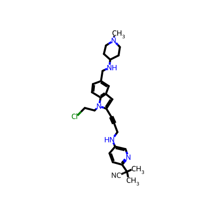 CN1CCC(NCc2ccc3c(c2)cc(C#CCNc2ccc(C(C)(C)C#N)nc2)n3CCCl)CC1